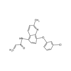 C=CC(=O)Nc1ccc(Oc2cccc(Cl)c2)c2nc(C)ccc12